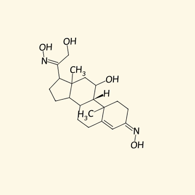 CC12CC(O)[C@H]3C(CCC4=CC(=NO)CCC43C)C1CCC2/C(CO)=N/O